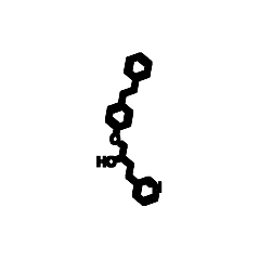 OC(CCc1cccnc1)COc1ccc(CCc2ccccc2)cc1